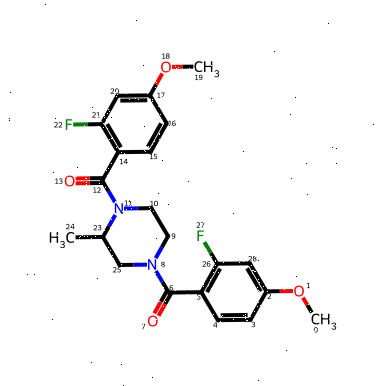 COc1ccc(C(=O)N2CCN(C(=O)c3ccc(OC)cc3F)C(C)C2)c(F)c1